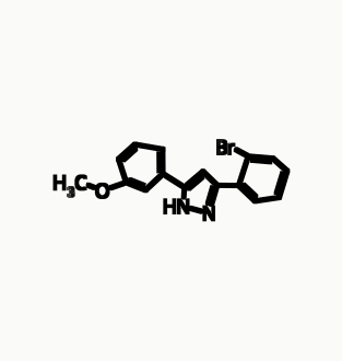 COc1cccc(-c2cc(-c3ccccc3Br)n[nH]2)c1